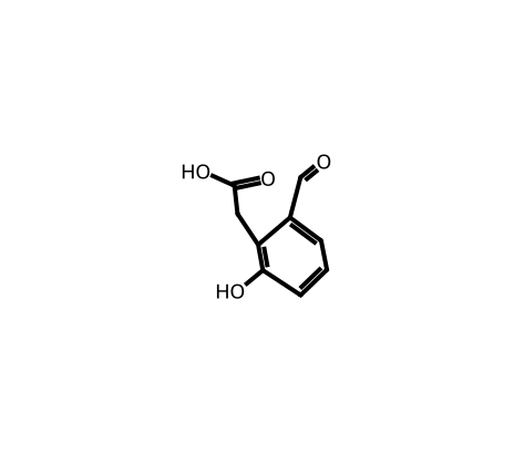 O=Cc1cccc(O)c1CC(=O)O